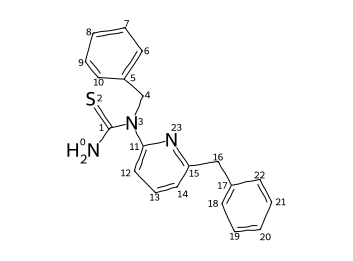 NC(=S)N(Cc1ccccc1)c1cccc(Cc2ccccc2)n1